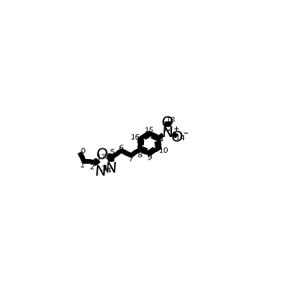 CCc1nnc(CCc2ccc([N+](=O)[O-])cc2)o1